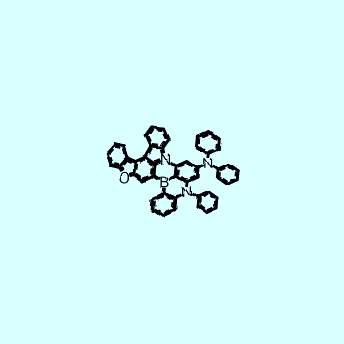 c1ccc(N(c2ccccc2)c2cc3c4c(c2)-n2c5ccccc5c5c6c(cc(c52)B4c2ccccc2N3c2ccccc2)oc2ccccc26)cc1